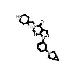 O=c1c2cnn(-c3cccc(N4CC5CC5C4)c3)c2ncn1CC1(O)CCNCC1